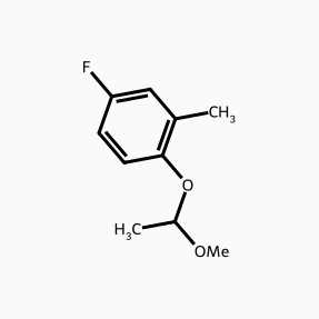 COC(C)Oc1ccc(F)cc1C